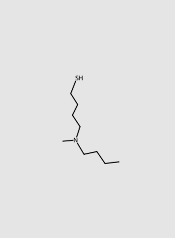 CCCCN(C)CCCCS